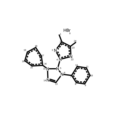 Br.Cc1nn(N2N(c3ccccc3)C=NN2c2ccccc2)nc1C